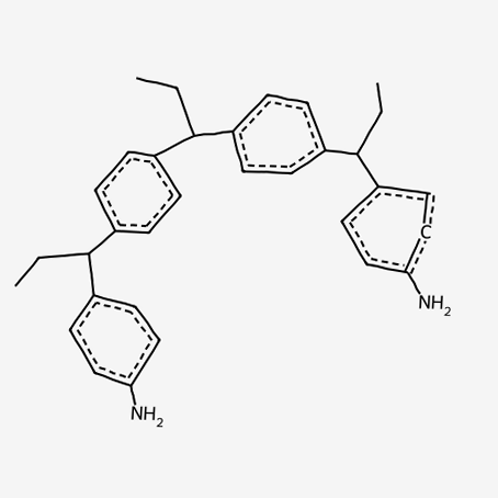 CCC(c1ccc(N)cc1)c1ccc(C(CC)c2ccc(C(CC)c3ccc(N)cc3)cc2)cc1